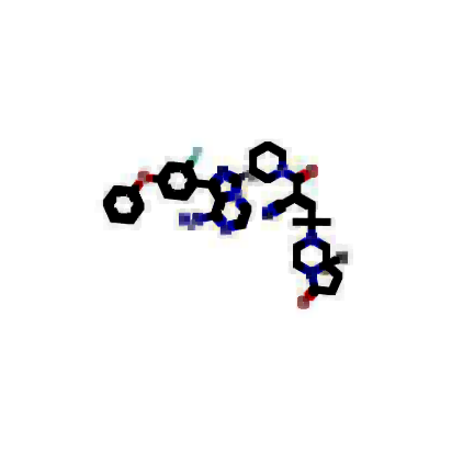 CC(C)(C=C(C#N)C(=O)N1CCC[C@@H](c2nc(-c3ccc(Oc4ccccc4)cc3F)c3c(N)nccn23)C1)N1CCN2C(=O)CC[C@H]2C1